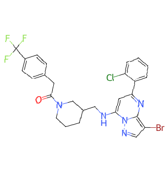 O=C(Cc1ccc(C(F)(F)F)cc1)N1CCCC(CNc2cc(-c3ccccc3Cl)nc3c(Br)cnn23)C1